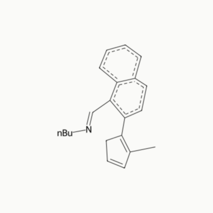 CCCCN=Cc1c(C2=C(C)C=CC2)ccc2ccccc12